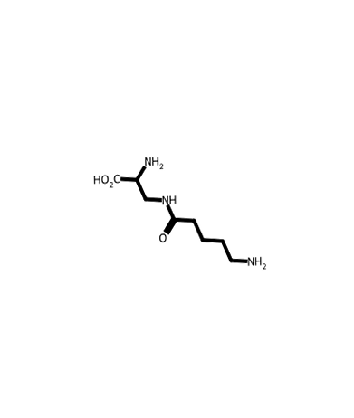 NCCCCC(=O)NCC(N)C(=O)O